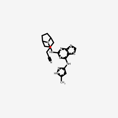 Cc1cc(Nc2nc(NC3CC4CCC(C3)N4CCC#N)nc3ncsc23)n[nH]1